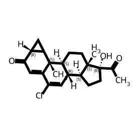 CC(=O)[C@@]1(O)CC[C@H]2[C@@H]3C=C(Cl)C4=CC(=O)[C@@H]5CC5[C@]4(C)[C@H]3CC[C@@]21C